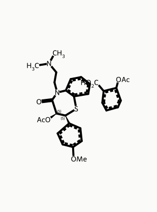 CC(=O)Oc1ccccc1C(=O)O.COc1ccc([C@@H]2Sc3ccccc3N(CCN(C)C)C(=O)[C@@H]2OC(C)=O)cc1